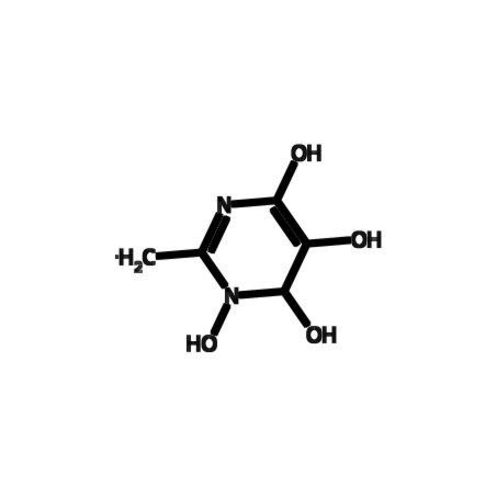 [CH2]C1=NC(O)=C(O)C(O)N1O